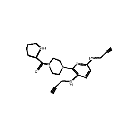 C#CCNc1ccc(NCC#C)c(N2CCN(C(=O)C3CCCN3)CC2)n1